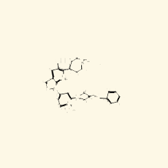 COc1cc(-n2ncc3cc(C)c(C4CCN(C(=O)O)CC4)nc32)cc(N2CC(OCc3ccccc3)C2)n1